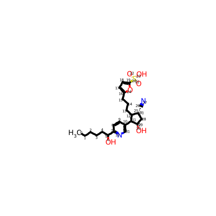 CCCCCC(O)c1ccc(C2C(CCCc3ccc(S(=O)(=O)O)o3)[C@H](C#N)C[C@H]2O)cn1